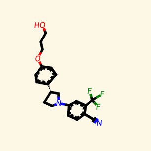 N#Cc1ccc(N2CC[C@H](c3ccc(OCCCO)cc3)C2)cc1C(F)(F)F